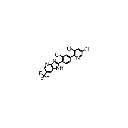 FC(F)(F)c1cnc2nc(-c3ccc(-c4ncc(Cl)cc4Cl)cc3Cl)[nH]c2c1